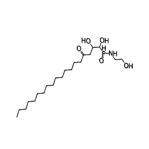 CCCCCCCCCCCCCCCC(=O)CC(O)C(O)[PH](=O)NCCO